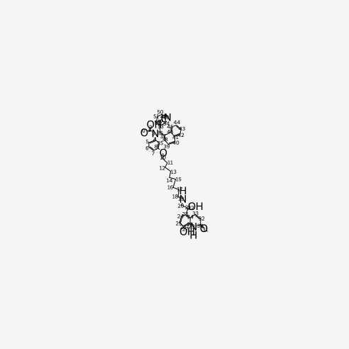 O=C(O)N(c1cccc(OCCCCCCCCCNC[C@H](O)c2ccc(O)c3[nH]c(=O)ccc23)c1)[C@@H](c1cccc2ccccc12)C1CN2CCC1CC2